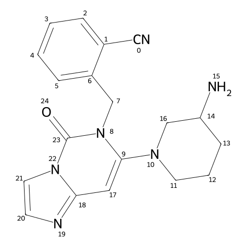 N#Cc1ccccc1Cn1c(N2CCCC(N)C2)cc2nccn2c1=O